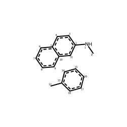 CNc1ccc2ccccc2c1.Cc1ccccc1